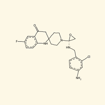 Nc1ccc(CN[C@@]2(N3CCC4(CC3)CC(=O)c3cc(F)ccc3N4)CO2)c(Cl)c1